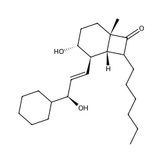 CCCCCCC1C(=O)[C@@]2(C)CC[C@@H](O)[C@H](/C=C/[C@@H](O)C3CCCCC3)[C@@H]12